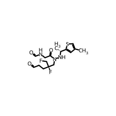 Cc1csc([C@@H](C)NN(C[C@@](F)(CF)CCC=O)C(=O)CNC=O)c1